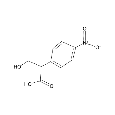 O=C(O)C(CO)c1ccc([N+](=O)[O-])cc1